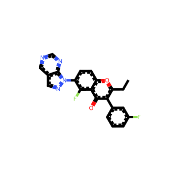 CCc1oc2ccc(-n3ncc4cncnc43)c(F)c2c(=O)c1-c1cccc(F)c1